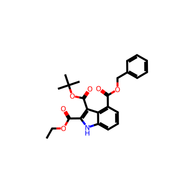 CCOC(=O)c1[nH]c2cccc(C(=O)OCc3ccccc3)c2c1C(=O)OC(C)(C)C